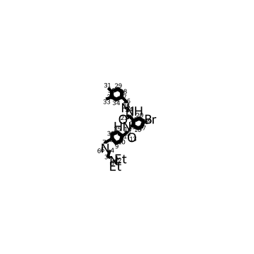 CCN(CC)CCN(C)Cc1ccc(C(=O)Nc2ccc(Br)cc2C(=O)NN=Cc2ccc(C)c(C)c2)cc1